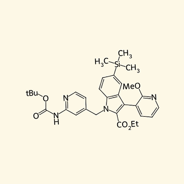 CCOC(=O)c1c(-c2cccnc2OC)c2cc([Si](C)(C)C)ccc2n1Cc1ccnc(NC(=O)OC(C)(C)C)c1